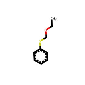 [CH2]COCSc1ccccc1